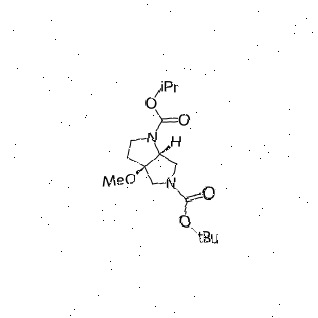 CO[C@@]12CCN(C(=O)OC(C)C)[C@@H]1CN(C(=O)OC(C)(C)C)C2